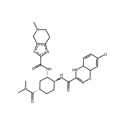 CN1CCc2nc(C(=O)N[C@H]3C[C@@H](C(=O)N(C)C)CC[C@@H]3NC(=O)C3=NOC4C=C(Cl)C=CC4N3)sc2C1